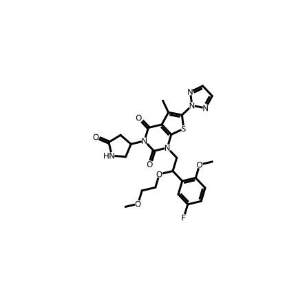 COCCOC(Cn1c(=O)n(C2CNC(=O)C2)c(=O)c2c(C)c(-n3nccn3)sc21)c1cc(F)ccc1OC